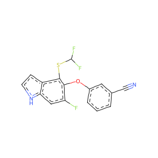 N#Cc1cccc(Oc2c(F)cc3[nH]ccc3c2SC(F)F)c1